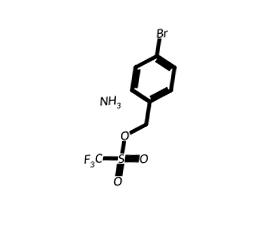 N.O=S(=O)(OCc1ccc(Br)cc1)C(F)(F)F